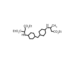 CCOC(=O)CC(C)NC1CCC(CC2CCC(NC(CC(=O)OCC)C(=O)OCC)CC2)CC1